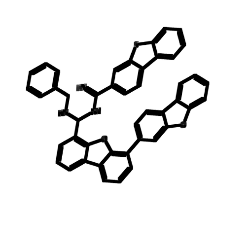 N=C(NC(NCc1ccccc1)c1cccc2c1oc1c(-c3ccc4c(c3)oc3ccccc34)cccc12)c1ccc2c(c1)sc1ccccc12